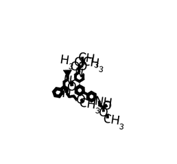 CCOC(=O)CNc1ccc(-c2cccc([C@H]3CCN(C(=O)OC(C)(C)C)C[C@@H]3C(=O)N(Cc3cn(CCCOC)c4ccccc34)C3CC3)c2)cc1